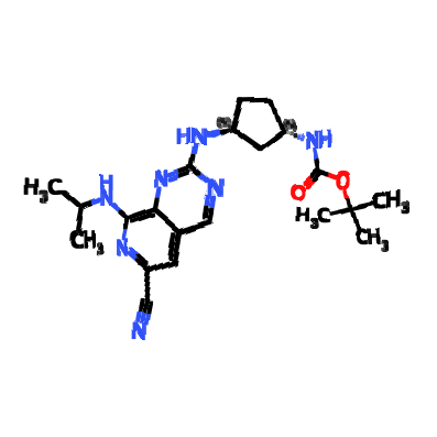 CC(C)Nc1nc(C#N)cc2cnc(N[C@H]3CC[C@H](NC(=O)OC(C)(C)C)C3)nc12